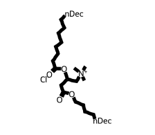 CCCCCCCCCCCCCCCCCC(=O)OC(CC(=O)OCCCCCCCCCCCCCC)C[N+](C)(C)C.[Cl-]